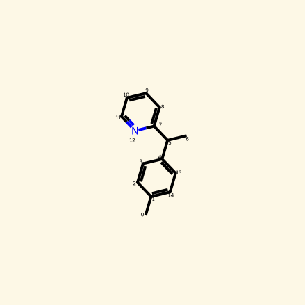 Cc1ccc(C(C)c2ccccn2)cc1